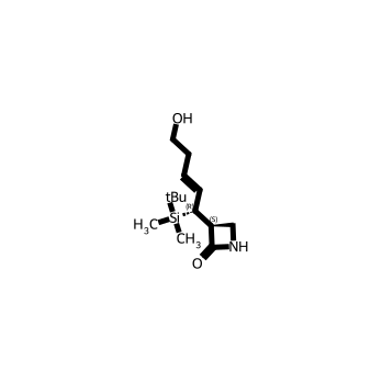 CC(C)(C)[Si](C)(C)[C@H](C=CCCO)[C@H]1CNC1=O